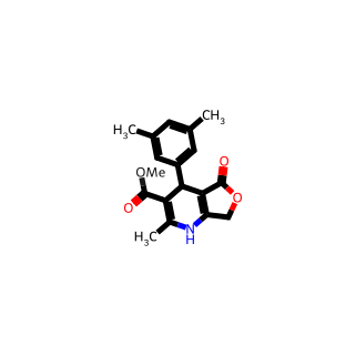 COC(=O)C1=C(C)NC2=C(C(=O)OC2)C1c1cc(C)cc(C)c1